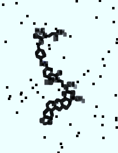 CNCCN(C)C(=O)OCc1ccc(/N=N/c2ccc(O)c(C(=O)NCCN(C)C(=O)Oc3c(OC)ccc4cc5[n+](cc34)CCc3cc4c(cc3-5)OCO4)c2)cc1